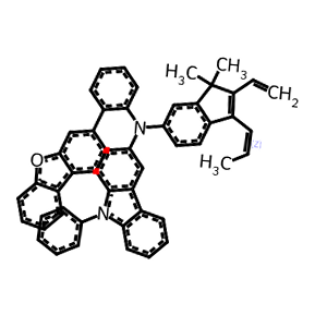 C=CC1=C(/C=C\C)c2ccc(N(c3ccc4c(c3)c3ccccc3n4-c3ccccc3)c3ccccc3-c3ccc4c(c3)oc3ccccc34)cc2C1(C)C